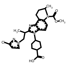 COC(=O)N1c2ccc3c(nc(C(C)Cn4ccc(Cl)n4)n3C3CCC(C(=O)O)CC3)c2CCC1C